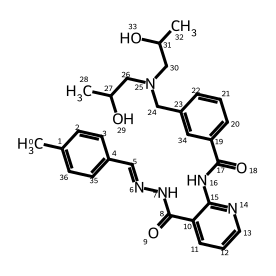 Cc1ccc(/C=N/NC(=O)c2cccnc2NC(=O)c2cccc(CN(CC(C)O)CC(C)O)c2)cc1